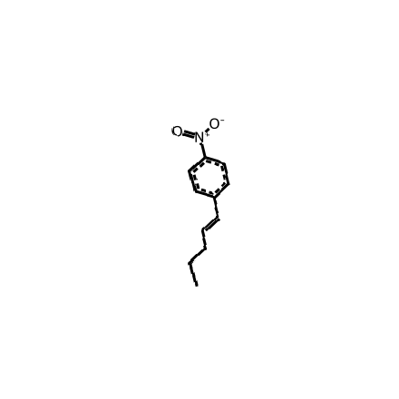 CCC/C=C/c1ccc([N+](=O)[O-])cc1